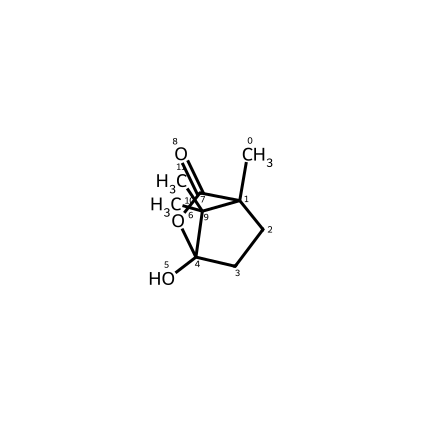 CC12CCC(O)(OC1=O)C2(C)C